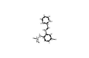 Cc1ccc(O[SiH](C)C)c(N=Cc2ncccn2)c1